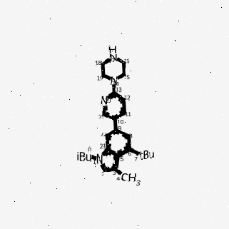 CCC(C)n1cc(C)c2c(C(C)(C)C)cc(-c3ccc(N4CCNCC4)nc3)cc21